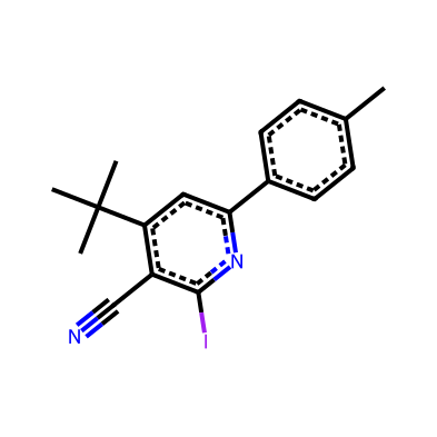 Cc1ccc(-c2cc(C(C)(C)C)c(C#N)c(I)n2)cc1